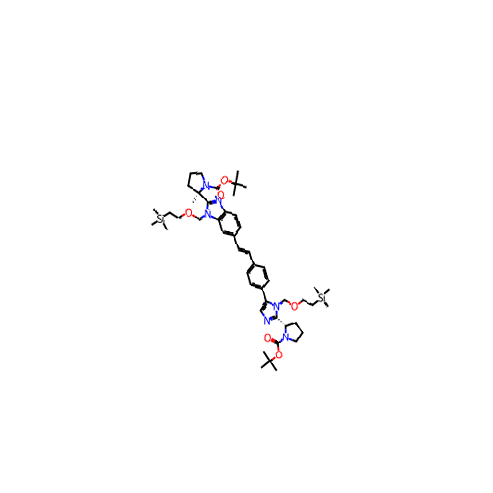 CC(C)(C)OC(=O)N1CCC[C@H]1c1ncc(-c2ccc(/C=C/c3ccc4nc([C@@]5(C)CCCN5C(=O)OC(C)(C)C)n(COCC[Si](C)(C)C)c4c3)cc2)n1COCC[Si](C)(C)C